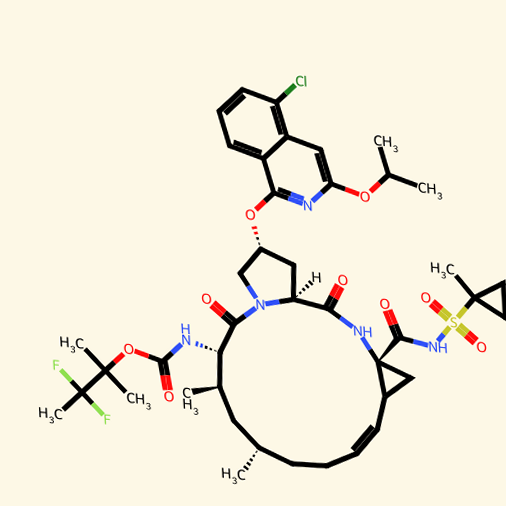 CC(C)Oc1cc2c(Cl)cccc2c(O[C@@H]2C[C@H]3C(=O)N[C@]4(C(=O)NS(=O)(=O)C5(C)CC5)CC4/C=C\CC[C@H](C)C[C@@H](C)[C@H](NC(=O)OC(C)(C)C(C)(F)F)C(=O)N3C2)n1